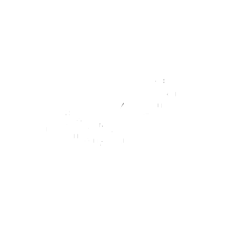 CC(C)(C)CC(O)C[C@@H]1CN(C(=O)OC(C)(C)C)C(C)(C)C1